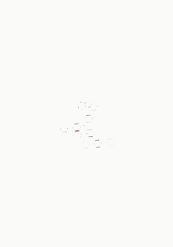 c1ccc(-c2ccc(N(c3ccc(-c4cccc5oc6ccccc6c45)cc3)c3ccc(-c4cc(-c5ccccc5)ccc4-c4ccccc4)cc3-c3ccccc3)cc2)cc1